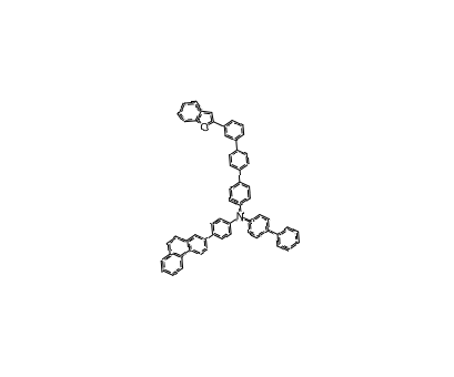 c1ccc(-c2ccc(N(c3ccc(-c4ccc(-c5cccc(-c6cc7ccccc7o6)c5)cc4)cc3)c3ccc(-c4ccc5c(ccc6ccccc65)c4)cc3)cc2)cc1